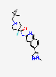 Cn1cc(-c2ccc3cnc(NC(=O)C4(F)CCN(CC5(C)CC5)CC4)cc3c2)cn1